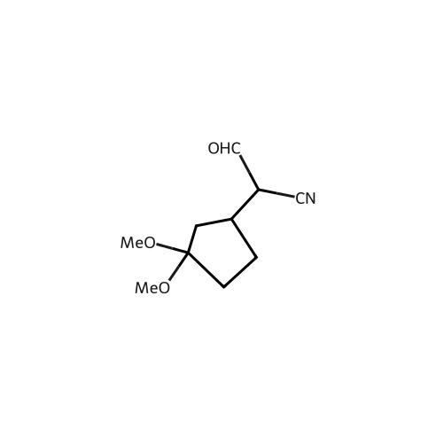 COC1(OC)CCC(C(C#N)C=O)C1